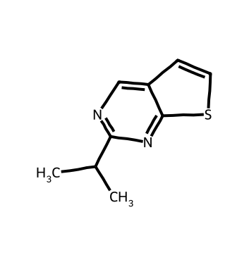 CC(C)c1ncc2ccsc2n1